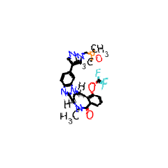 CN1C(=O)c2cccc(OC(F)F)c2[C@H]2C[C@@H]1c1nc3ccc(-c4cnn(CP(C)(C)=O)c4)cc3n12